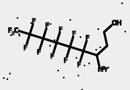 CCCC(CCO)C(F)(F)C(F)(F)C(F)(F)C(F)(F)C(F)(F)C(F)(F)F